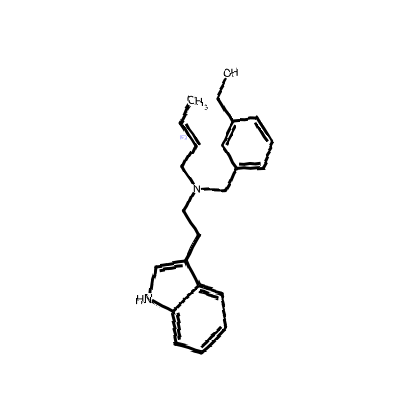 C/C=C/CN(CCc1c[nH]c2ccccc12)Cc1cccc(CO)c1